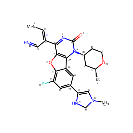 CC[C@H]1C[C@@H](n2c(=O)nc(/C(C=N)=C/NC)c3oc4c(F)cc(C5=CN(C)CN5)cc4c32)CCO1